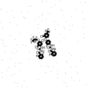 O=C(NC(=O)c1c(F)cccc1F)Nc1cc(Cl)c(OC(F)(F)C(F)C(F)(F)F)cc1Cl.O=C(NC(=O)c1c(F)cccc1F)Nc1ccc(Oc2ccc(C(F)(F)F)cc2Cl)cc1F